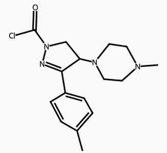 Cc1ccc(C2=NN(C(=O)Cl)CC2N2CCN(C)CC2)cc1